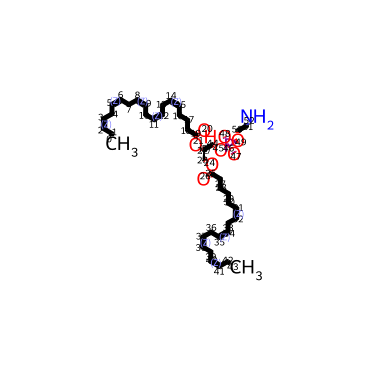 CC/C=C\C/C=C\C/C=C\C/C=C\C/C=C\CCCC(=O)O[C@H](COC(=O)CCCC/C=C\C/C=C\C/C=C\C/C=C\CC)COP(=O)(O)OCCN